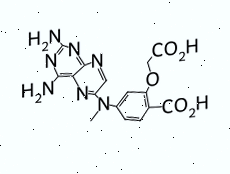 CN(c1ccc(C(=O)O)c(OCC(=O)O)c1)c1cnc2nc(N)nc(N)c2n1